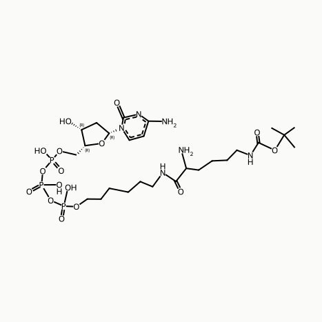 CC(C)(C)OC(=O)NCCCCC(N)C(=O)NCCCCCCOP(=O)(O)OP(=O)(O)OP(=O)(O)OC[C@H]1O[C@@H](n2ccc(N)nc2=O)C[C@H]1O